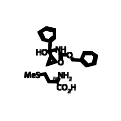 CSCC[C@H](N)C(=O)O.O=C(NC(O)(c1ccccc1)C1CC1)OCc1ccccc1